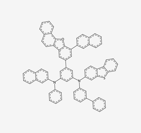 c1ccc(-c2cccc(N(c3cc(-c4cc(-c5ccc6ccccc6c5)c5oc6c7ccccc7ccc6c5c4)cc(N(c4ccccc4)c4ccc5ccccc5c4)c3)c3ccc4c(c3)sc3ccccc34)c2)cc1